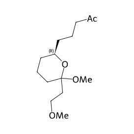 COCCC1(OC)CCC[C@@H](CCCC(C)=O)O1